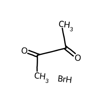 Br.CC(=O)C(C)=O